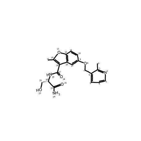 Cc1ncccc1COc1ccc2oc(C)c(C(=O)N[C@@H](CO)C(N)=O)c2c1